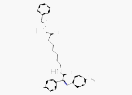 CSc1ccc(/C=C(\C(=O)NCCCCCCC(=O)NOCc2ccccc2)c2ccc(F)cc2)cc1